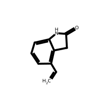 C=Cc1cccc2c1CC(=O)N2